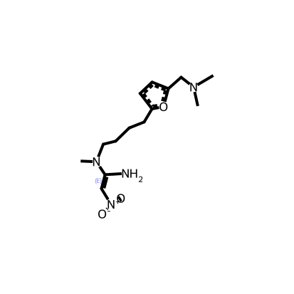 CN(C)Cc1ccc(CCCCN(C)/C(N)=C/[N+](=O)[O-])o1